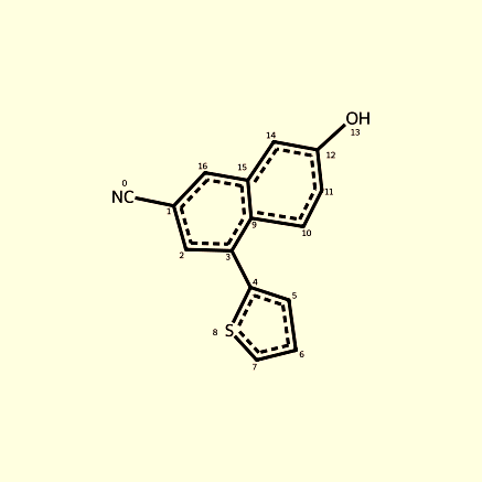 N#Cc1cc(-c2cccs2)c2ccc(O)cc2c1